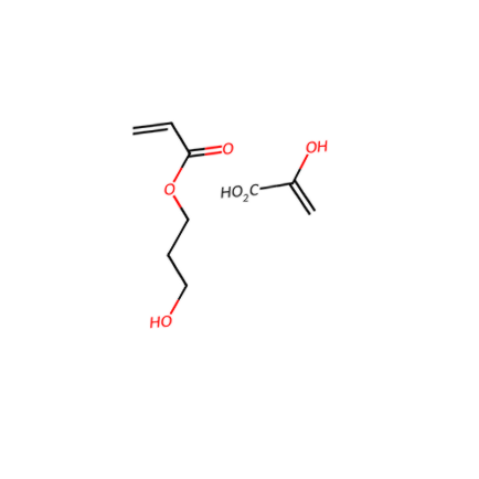 C=C(O)C(=O)O.C=CC(=O)OCCCO